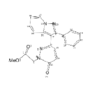 COC(=O)Cn1nc(-c2c(-c3ccccc3)nn3ccccc23)ccc1=O